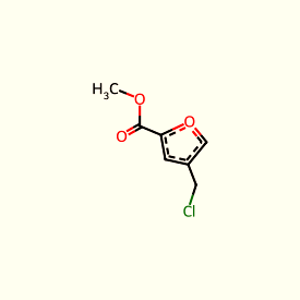 COC(=O)c1cc(CCl)co1